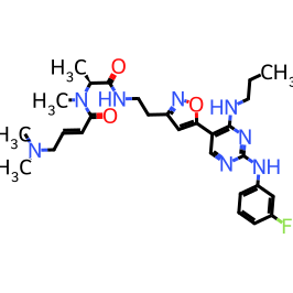 CCCNc1nc(Nc2cccc(F)c2)ncc1-c1cc(CCNC(=O)[C@H](C)N(C)C(=O)/C=C/CN(C)C)no1